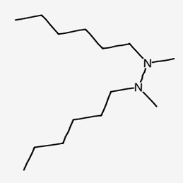 CCCCCCN(C)N(C)CCCCCC